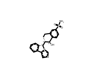 NS(=O)(=O)c1ccc2c(c1)CC[C@@H]([C@H]1c3ccccc3-c3cncn31)[C@@H]2O